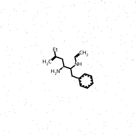 C=CNC(Cc1ccccc1)[C@@H](N)CC(=C)CC